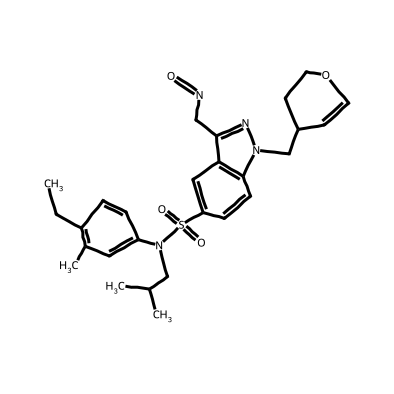 CCc1ccc(N(CC(C)C)S(=O)(=O)c2ccc3c(c2)c(CN=O)nn3CC2C=COCC2)cc1C